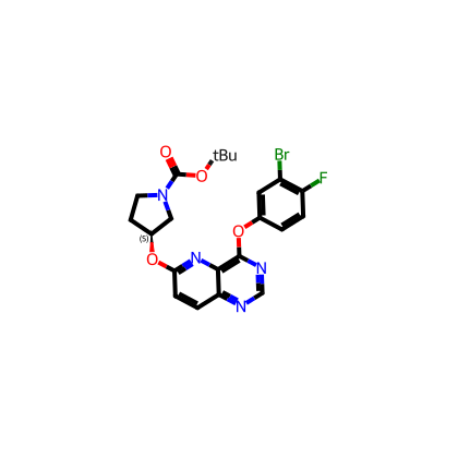 CC(C)(C)OC(=O)N1CC[C@H](Oc2ccc3ncnc(Oc4ccc(F)c(Br)c4)c3n2)C1